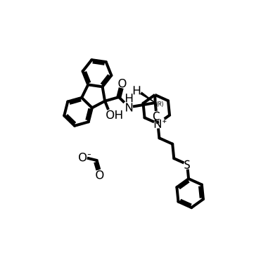 O=C(N[C@H]1C[N+]2(CCCSc3ccccc3)CCC1CC2)C1(O)c2ccccc2-c2ccccc21.O=C[O-]